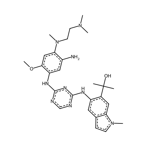 COc1cc(N(C)CCN(C)C)c(N)cc1Nc1ncnc(Nc2cc3ccn(C)c3cc2C(C)(C)O)n1